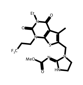 CCn1c(=O)c2c(C)c(CN3CCNC3=NC(=O)OC)sc2n(CCC(F)(F)F)c1=O